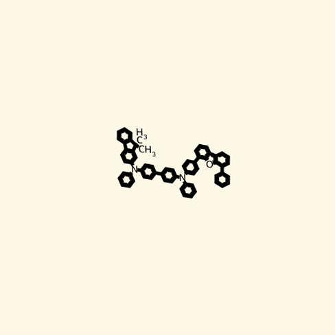 CC1(C)c2ccccc2-c2ccc(N(c3ccccc3)c3ccc(-c4ccc(N(C5=C=C=C(c6cccc7c6oc6c(-c8ccccc8)cccc67)C=C5)c5ccccc5)cc4)cc3)cc21